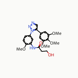 COc1ccc(-n2nncc2-c2cc(OC)c(OC)c(OC)c2)cc1NC(=O)[CH]CO